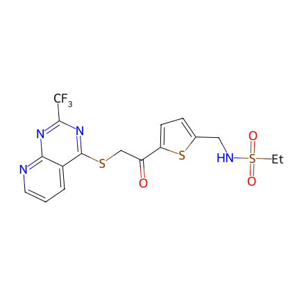 CCS(=O)(=O)NCc1ccc(C(=O)CSc2nc(C(F)(F)F)nc3ncccc23)s1